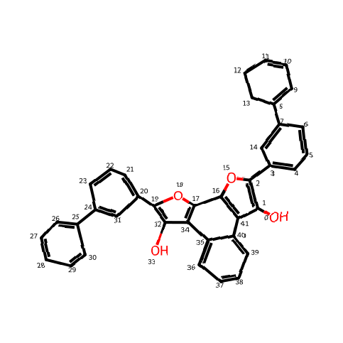 Oc1c(-c2cccc(C3=CC=CCC3)c2)oc2c3oc(-c4cccc(-c5ccccc5)c4)c(O)c3c3ccccc3c12